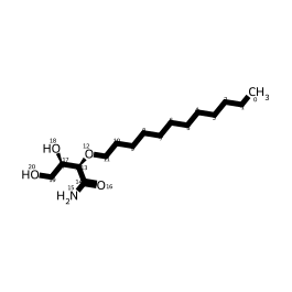 CCCCCCCCCCCCO[C@@H](C(N)=O)[C@H](O)CO